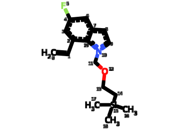 C=Cc1cc(F)cc2ccn(COCC[Si](C)(C)C)c12